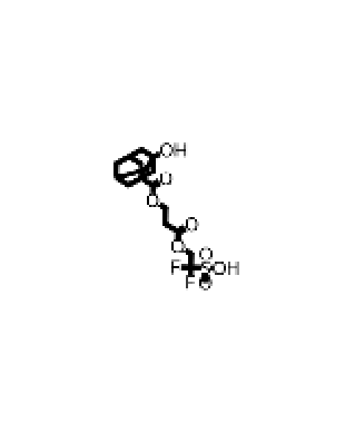 O=C(CCOC(=O)C12CC3CC(CC(O)(C3)C1)C2)OCC(F)(F)S(=O)(=O)O